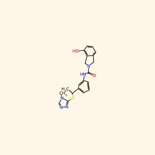 CC(Sc1nncn1C)c1cccc(NC(=O)N2Cc3cccc(O)c3C2)c1